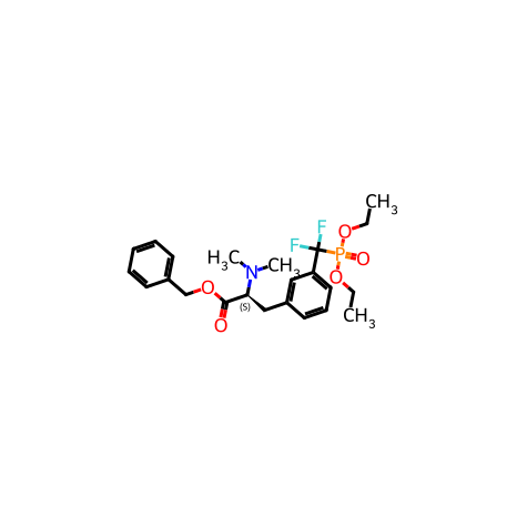 CCOP(=O)(OCC)C(F)(F)c1cccc(C[C@@H](C(=O)OCc2ccccc2)N(C)C)c1